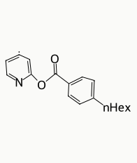 CCCCCCc1ccc(C(=O)Oc2c[c]ccn2)cc1